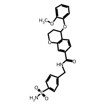 COc1ccccc1OC1CCOc2cc(C(=O)NCc3ccc(S(N)(=O)=O)cc3)ccc21